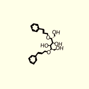 OC[C@@H](OCC=Cc1ccccc1)[C@@H](O)[C@H](O)[C@@H](CO)OCC=Cc1ccccc1